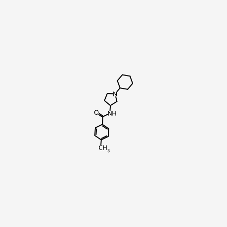 Cc1ccc(C(=O)NC2CCN(C3CCCCC3)C2)cc1